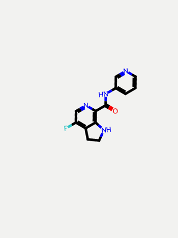 O=C(Nc1cccnc1)c1ncc(F)c2c1NCC2